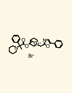 CC(C(=O)OC1C[N+]2(Cc3ncc(-c4ccccc4)o3)CCC1CC2)(c1ccccc1)N1CCCCC1.[Br-]